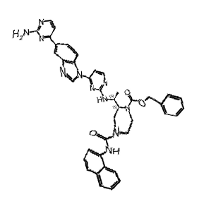 C[C@H](Nc1nccc(-n2cnc3cc(-c4ccnc(N)n4)ccc32)n1)[C@@H]1CN(C(=O)Nc2cccc3ccccc23)CCN1C(=O)OCc1ccccc1